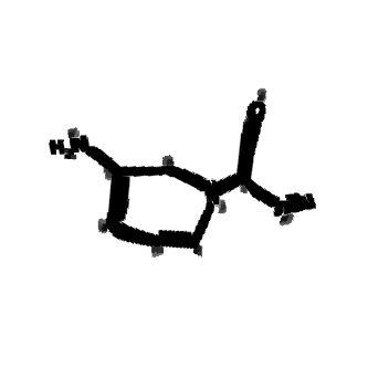 CCCCC(=O)N1C=CC=C(N)C1